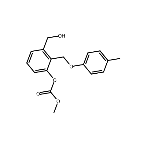 COC(=O)Oc1cccc(CO)c1COc1ccc(C)cc1